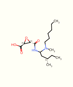 CCCCCCN(C)C(C[C@@H](C)CC)NC(=O)[C@H]1O[C@@H]1C(=O)O